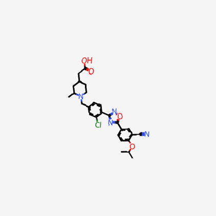 CC(C)Oc1ccc(-c2nc(-c3ccc(CN4CCC(CC(=O)O)CC4C)cc3Cl)no2)cc1C#N